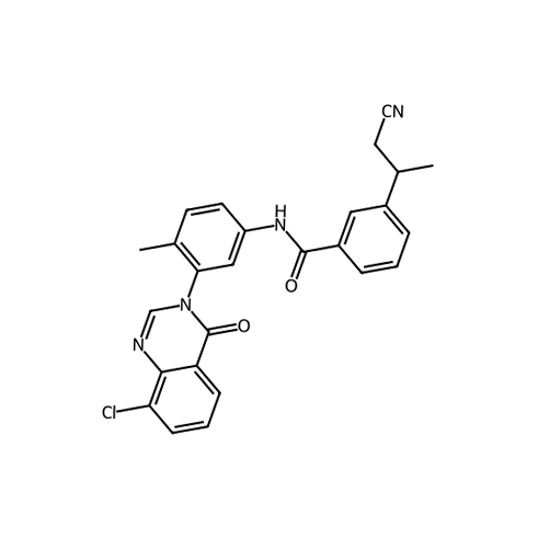 Cc1ccc(NC(=O)c2cccc(C(C)CC#N)c2)cc1-n1cnc2c(Cl)cccc2c1=O